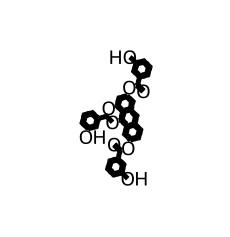 O=C(Oc1ccc2c(OC(=O)c3cccc(O)c3)c3cc(OC(=O)c4cccc(O)c4)ccc3cc2c1)c1cccc(O)c1